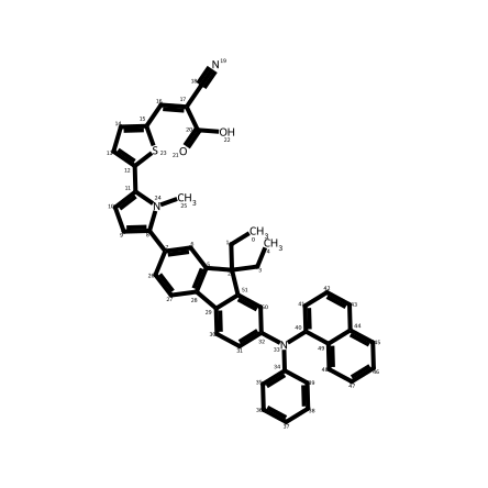 CCC1(CC)c2cc(-c3ccc(-c4ccc(C=C(C#N)C(=O)O)s4)n3C)ccc2-c2ccc(N(c3ccccc3)c3cccc4ccccc34)cc21